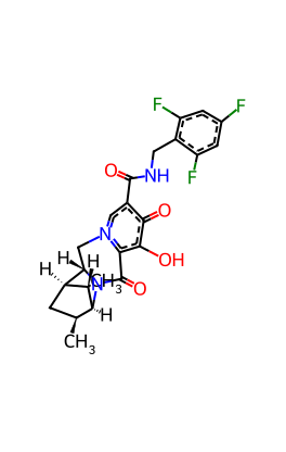 C[C@H]1[C@H]2C[C@H](C)[C@@H]1N1C(=O)c3c(O)c(=O)c(C(=O)NCc4c(F)cc(F)cc4F)cn3C[C@@H]21